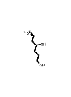 C=CCC(O)CCCO